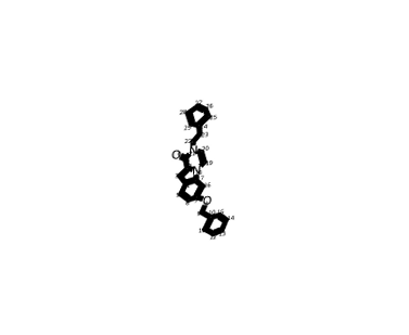 O=c1c2cc3ccc(OCc4ccccc4)cc3n2ccn1CCc1ccccc1